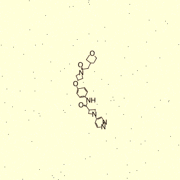 O=C(Nc1ccc(OC2CN(C(=O)CC3CCOCC3)C2)cc1)C1CN(c2ccnnc2)C1